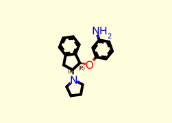 Nc1cccc(O[C@@H]2c3ccccc3C[C@H]2N2CCCC2)c1